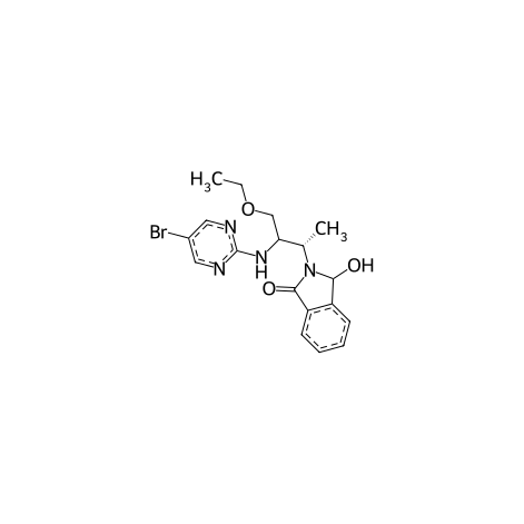 CCOCC(Nc1ncc(Br)cn1)[C@H](C)N1C(=O)c2ccccc2C1O